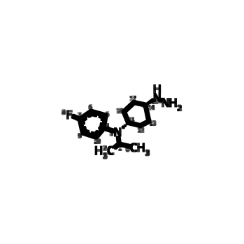 CC(C)N(c1ccc(F)cc1)[C@H]1CC[C@H](NN)CC1